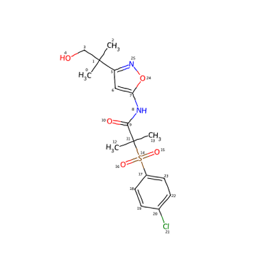 CC(C)(CO)c1cc(NC(=O)C(C)(C)S(=O)(=O)c2ccc(Cl)cc2)on1